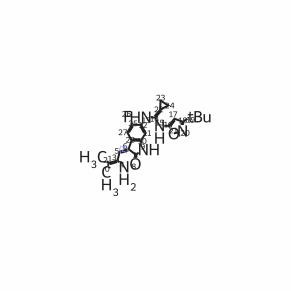 CC(C)=C(N)/C=C1\C(=O)Nc2cc(NC(Nc3cc(C(C)(C)C)no3)=C3CC3)c(F)cc21